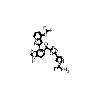 O=C(c1nnc(-c2cnn(C(F)P)c2)o1)N1CCc2[nH]cnc2[C@H]1c1cc2c(OC(F)F)cccn2n1